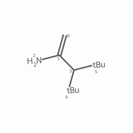 C=C(N)C(C(C)(C)C)C(C)(C)C